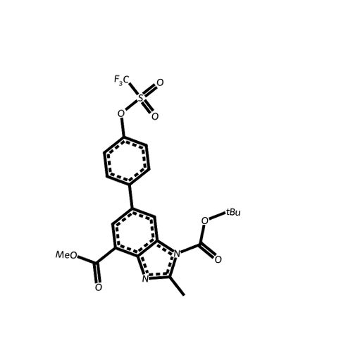 COC(=O)c1cc(-c2ccc(OS(=O)(=O)C(F)(F)F)cc2)cc2c1nc(C)n2C(=O)OC(C)(C)C